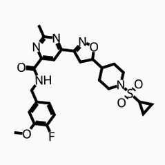 COc1cc(CNC(=O)c2cc(C3=NOC(C4CCN(S(=O)(=O)C5CC5)CC4)C3)nc(C)n2)ccc1F